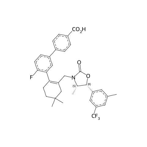 Cc1cc([C@H]2OC(=O)N(CC3=C(c4cc(-c5ccc(C(=O)O)cc5)ccc4F)CCC(C)(C)C3)[C@H]2C)cc(C(F)(F)F)c1